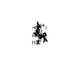 CCCCC(NC(=O)CNC(=O)C(=O)C(CCC)NC(=O)[C@@H]1C[C@@H](OCC(=O)O)CN1C(=O)C(NC(=O)C(CCC)CCC)C1CCCCC1)C(N)=O